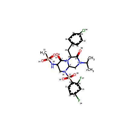 CC(C)N1CC2N(C(=O)C(NS(C)(=O)=O)CN2S(=O)(=O)c2ccc(F)cc2F)C(Cc2ccc(Cl)cc2)C1=O